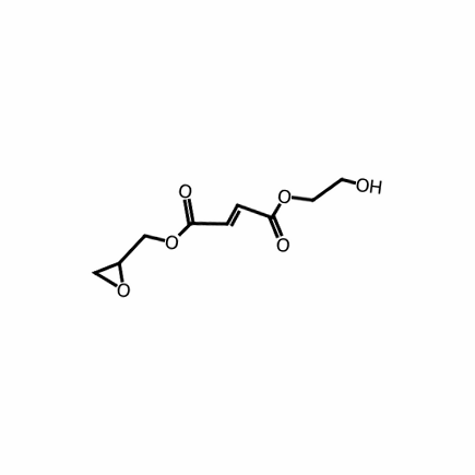 O=C(C=CC(=O)OCC1CO1)OCCO